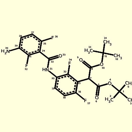 CC(C)(C)OC(=O)C(C(=O)OC(C)(C)C)c1c(F)ccc(NC(=O)c2c(F)ccc(N)c2F)c1F